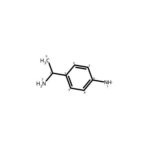 CC(N)c1ccc([NH])cc1